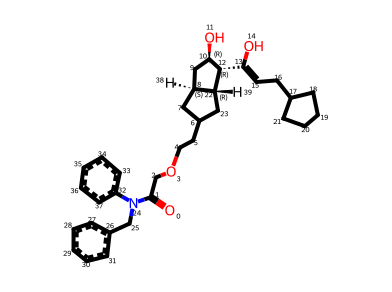 O=C(COCCC1C[C@H]2C[C@@H](O)[C@H](C(O)=CCC3CCCC3)[C@@H]2C1)N(Cc1ccccc1)c1ccccc1